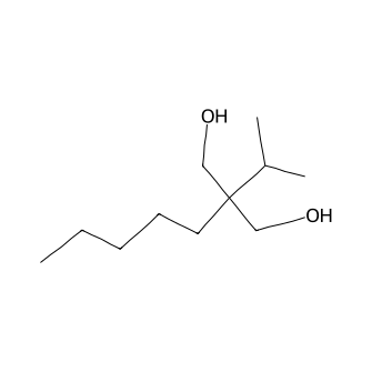 CCCCCC(CO)(CO)C(C)C